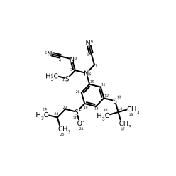 CSC(=NC#N)N(CC#N)c1cc(SC(C)(C)C)cc([S+]([O-])CC(C)C)c1